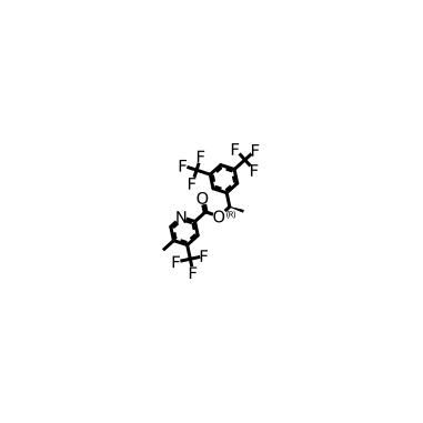 Cc1cnc(C(=O)O[C@H](C)c2cc(C(F)(F)F)cc(C(F)(F)F)c2)cc1C(F)(F)F